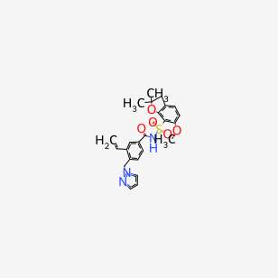 C=Cc1cc(C(=O)NS(=O)(=O)c2c(OC)ccc3c2OC(C)(C)C3)ccc1Cn1cccn1